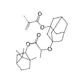 C=C(C)C(=O)OC12CC3CC(C1)CC(OC(C)C(=O)OC1CC4CCC1(C)C4(C)C)(C3)C2